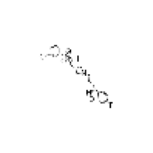 O=S(=O)(NCC1CN(CCCc2noc3cc(F)ccc23)C1)c1cccc(Cl)c1